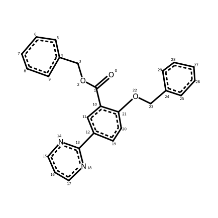 O=C(OCc1ccccc1)c1cc(-c2ncccn2)ccc1OCc1ccccc1